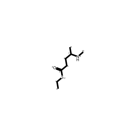 CCSC(=O)CCC(C)NC